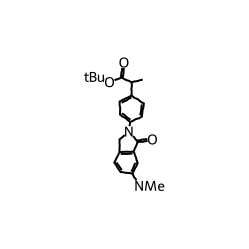 CNc1ccc2c(c1)C(=O)N(c1ccc(C(C)C(=O)OC(C)(C)C)cc1)C2